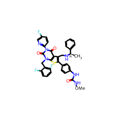 CONC(=O)Nc1ccc(-c2sc3c(c2CN[C@H](C)c2ccccc2)c(=O)n(-c2ccc(F)cn2)c(=O)n3Cc2c(F)cccc2F)cc1